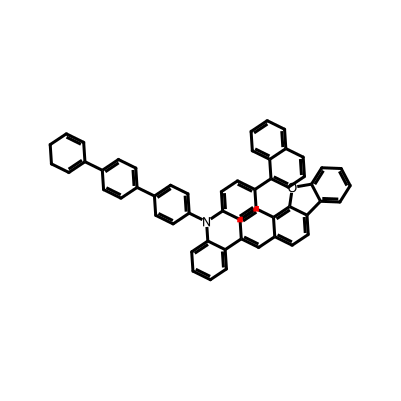 C1=CC(c2ccc(-c3ccc(N(c4ccc(-c5cccc6ccccc56)cc4)c4ccccc4-c4ccc5c(ccc6c7ccccc7oc56)c4)cc3)cc2)=CCC1